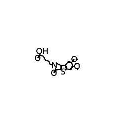 COc1cc2sc3c(c2cc1OC)CN(CCCCC(=O)O)C3=O